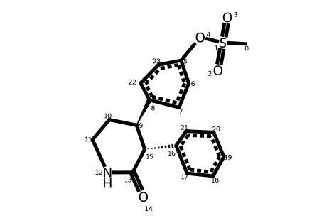 CS(=O)(=O)Oc1ccc([C@@H]2CCNC(=O)[C@H]2c2ccccc2)cc1